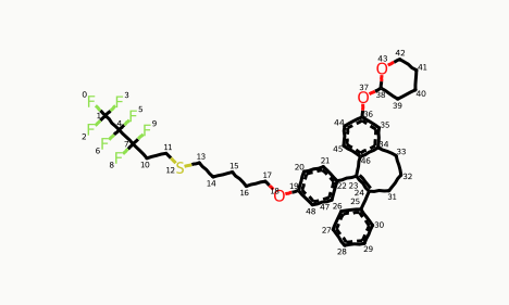 FC(F)(F)C(F)(F)C(F)(F)CCSCCCCCOc1ccc(C2=C(c3ccccc3)CCCc3cc(OC4CCCCO4)ccc32)cc1